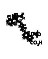 O=C(O)c1cc(OC2COC2)c2cc(N3CC4(CC(/C=C/c5c(-c6c(Cl)cncc6Cl)noc5C5CC5)C4)C3)ccc2n1